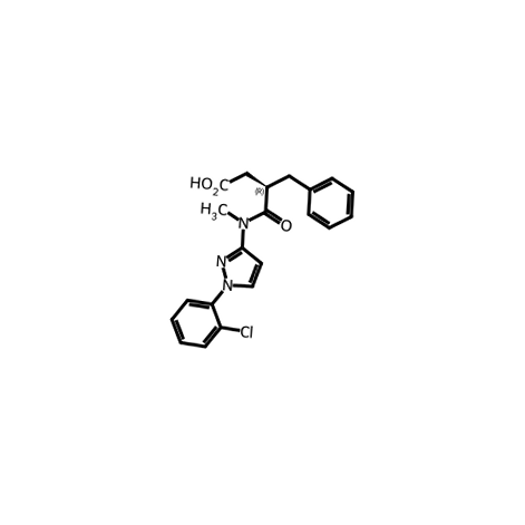 CN(C(=O)[C@@H](CC(=O)O)Cc1ccccc1)c1ccn(-c2ccccc2Cl)n1